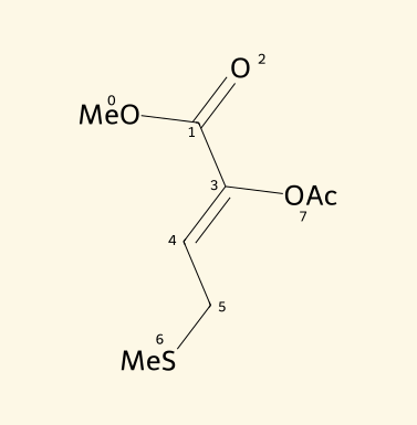 COC(=O)C(=CCSC)OC(C)=O